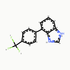 FC(F)(F)c1ccc(-c2cccc3[nH]cnc23)cc1